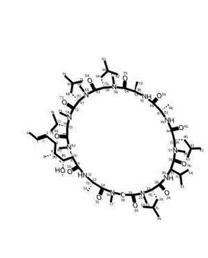 C/C=C/C[C@@H](C)[C@@H](O)[C@H]1C(=O)N[C@@H](C)C(=O)N(C)CC(=O)N(C)[C@@H](CC(C)C)C(=O)NC(C(C)C)C(=O)N(C)[C@@H](CC(C)C)C(=O)N[C@@H](C)C(=O)N[C@H](C)C(=O)N(C)[C@@H](CC(C)C)C(=O)N(C)[C@@H](CC(C)C)C(=O)N(C)[C@@H](C(C)C)C(=O)N1C